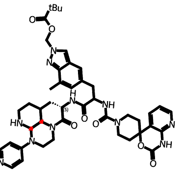 Cc1cc(CC(NC(=O)N2CCC3(CC2)OC(=O)Nc2ncccc23)C(=O)N[C@@H](CC2CCNCC2)C(=O)N2CCN(c3ccncc3)CC2)cc2cn(COC(=O)C(C)(C)C)nc12